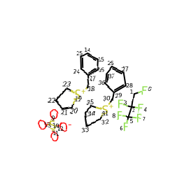 FCC(F)(F)C(F)(F)F.O=S(=O)([O-])[O-].c1ccc(C[S+]2CCCC2)cc1.c1ccc(C[S+]2CCCC2)cc1